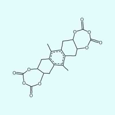 Cc1c2c(c(C)c3c1CC1OC(=O)OC(=O)OC1C3)CC1OC(=O)OC(=O)OC1C2